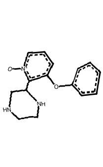 [O-][n+]1cccc(Oc2ccccc2)c1C1CNCCN1